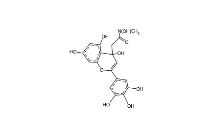 CN(O)C(=O)CC1(O)C=C(c2cc(O)c(O)c(O)c2)Oc2cc(O)cc(O)c21